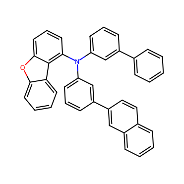 c1ccc(-c2cccc(N(c3cccc(-c4ccc5ccccc5c4)c3)c3cccc4oc5ccccc5c34)c2)cc1